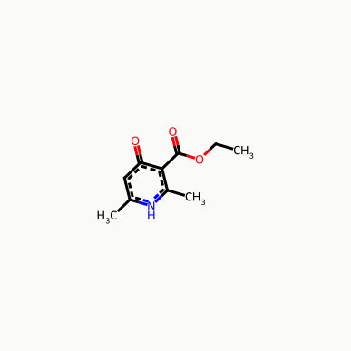 CCOC(=O)c1c(C)[nH]c(C)cc1=O